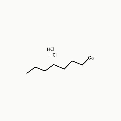 CCCCCC[CH2][Ga].Cl.Cl